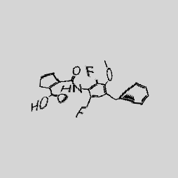 COc1c(-c2ccccc2)cc(F)c(NC(=O)C2=C(C(=O)O)CCC2)c1F